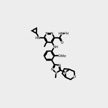 [2H]NC(=O)c1nnc(NC2CC2)c(C)c1Nc1cccc(-c2nc(N3C4CCC3COC4)n(C)n2)c1OC